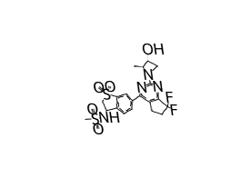 C[C@H]1[C@H](O)CN1c1nc(-c2ccc3c(c2)S(=O)(=O)CC3NS(C)(=O)=O)c2c(n1)C(F)(F)CC2